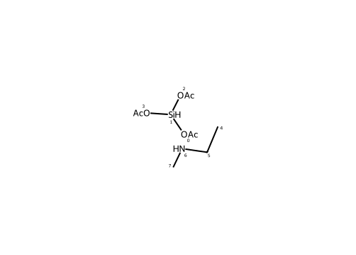 CC(=O)O[SiH](OC(C)=O)OC(C)=O.CCNC